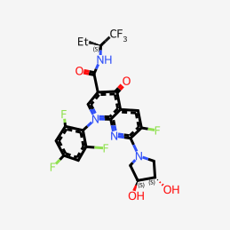 CC[C@H](NC(=O)c1cn(-c2c(F)cc(F)cc2F)c2nc(N3C[C@H](O)[C@@H](O)C3)c(F)cc2c1=O)C(F)(F)F